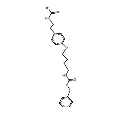 O=C(O)NCCc1ccc(OCCCCNC(=O)OCc2ccccc2)cc1